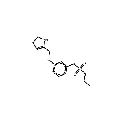 CCCS(=O)(=O)Oc1cccc(OCC2=NCCN2)c1